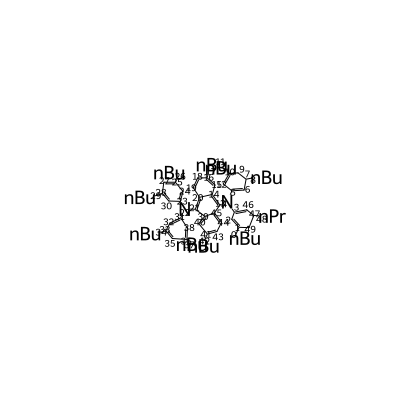 CCCCC1=CC(N(C2=CC(CCCC)CC(CCCC)=C2)c2c3cc(CCCC)ccc3c(N(c3cc(CCCC)cc(CCCC)c3)c3cc(CCCC)cc(CCCC)c3)c3cc(CCCC)ccc23)=CC(CCC)C1